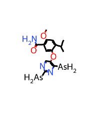 COc1cc(C(C)C)c(Oc2cnc([AsH2])nc2[AsH2])cc1C(N)=O